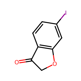 O=C1COc2cc(I)ccc21